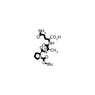 C[C@H](NC(=O)[C@@H]1CCCN1C(=O)OC(C)(C)C)C(=O)N[C@@H](CCC(N)=O)C(=O)O